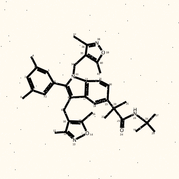 Cc1cc(C)cc(-c2c(Cc3c(C)noc3C)c3cc(C(C)(C)C(=O)NC(C)(C)C)ccc3n2Cc2c(C)noc2C)c1